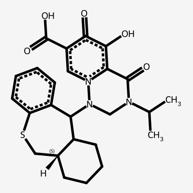 CC(C)N1CN(C2c3ccccc3SC[C@H]3CCCCC23)n2cc(C(=O)O)c(=O)c(O)c2C1=O